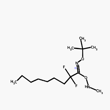 CCCCCCCC(F)(F)/C(=N/OC(C)(C)C)ONC